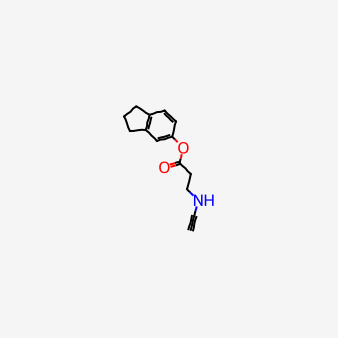 C#CNCCC(=O)Oc1ccc2c(c1)CCC2